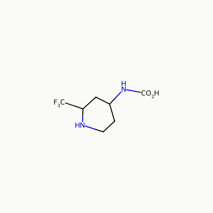 O=C(O)NC1CCNC(C(F)(F)F)C1